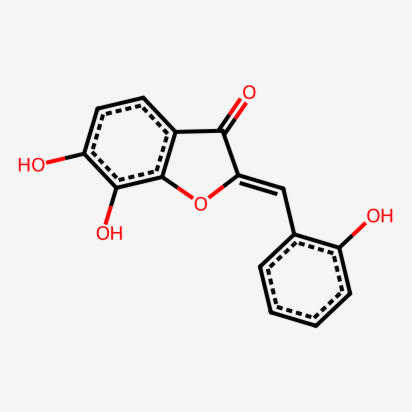 O=C1C(=Cc2ccccc2O)Oc2c1ccc(O)c2O